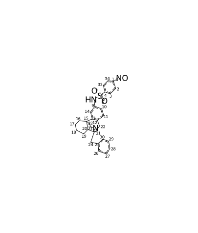 O=Nc1ccc(S(=O)(=O)Nc2ccc3c(c2)C24CCCCC2C(C3)N(Cc2ccccc2)CC4)cc1